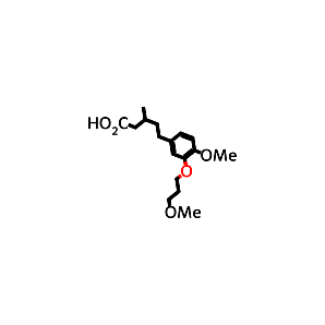 COCCCOc1cc(CCC(C)CC(=O)O)ccc1OC